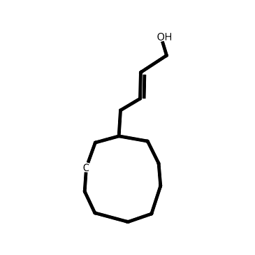 OCC=CCC1CCCCCCCCC1